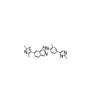 Cc1nc(C)c(-c2ccc3cnc(Nc4ccc(-c5cnc(C)n5C)cc4C)cc3c2)s1